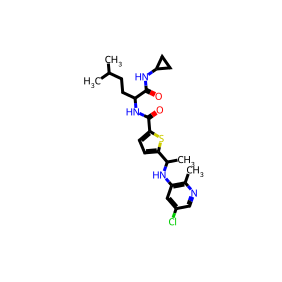 Cc1ncc(Cl)cc1NC(C)c1ccc(C(=O)NC(CCC(C)C)C(=O)NC2CC2)s1